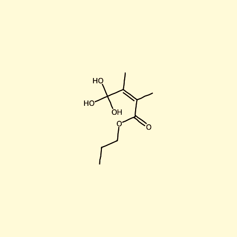 CCCOC(=O)C(C)=C(C)C(O)(O)O